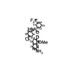 COn1c(=O)c(-c2cc(NC(=O)c3cccc(C(F)(F)F)c3)ccc2Cl)cc2cnc(N)nc21